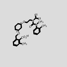 CCC(CC)N(CCO[C@H]1CCC[C@@H](OCc2cccc(C)c2C(=O)O)C1)C(=O)N(C)c1ccccc1C